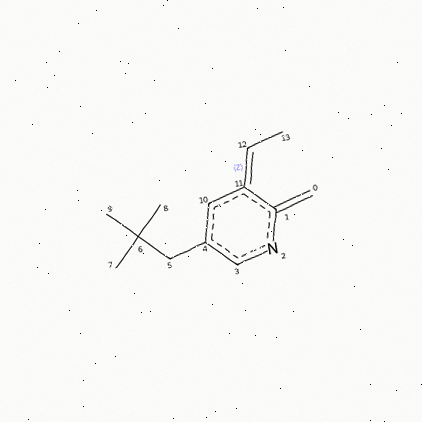 C=c1ncc(CC(C)(C)C)c/c1=C/C